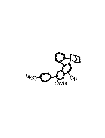 COc1ccc(-c2cc3c4c(cc(O)c3cc2OC)C2(CC3CCC2C3)c2ccccc2-4)cc1